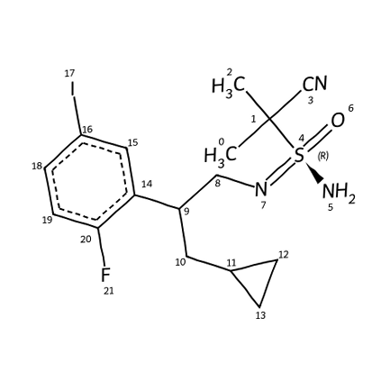 CC(C)(C#N)[S@](N)(=O)=NCC(CC1CC1)c1cc(I)ccc1F